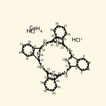 Cl.Cl.[GeH4].c1ccc2c(c1)-c1nc-2nc2[nH]c(nc3nc(nc4[nH]c(n1)c1ccccc41)-c1ccccc1-3)c1ccccc21